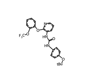 CC(C)(C)Oc1ccc(NC(=O)Nc2cccnc2Oc2ccccc2OC(F)(F)F)cc1